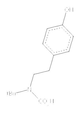 CC(C)(C)N(CCc1ccc(O)cc1)C(=O)O